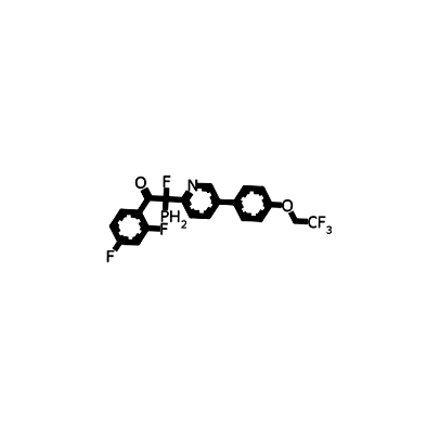 O=C(c1ccc(F)cc1F)C(F)(P)c1ccc(-c2ccc(OCC(F)(F)F)cc2)cn1